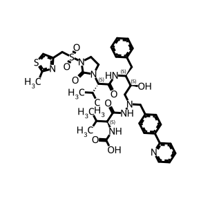 Cc1nc(CS(=O)(=O)N2CCN([C@H](C(=O)N[C@@H](Cc3ccccc3)[C@@H](O)CN(Cc3ccc(-c4ccccn4)cc3)NC(=O)[C@@H](NC(=O)O)C(C)C)C(C)C)C2=O)cs1